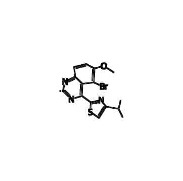 COc1ccc2n[c]nc(-c3nc(C(C)C)cs3)c2c1Br